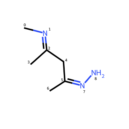 C/N=C(\C)C/C(C)=N\N